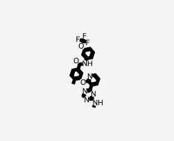 CNc1ncnc(-c2cccnc2Oc2cc(C(=O)Nc3cccc(OC(F)(F)F)c3)ccc2C)n1